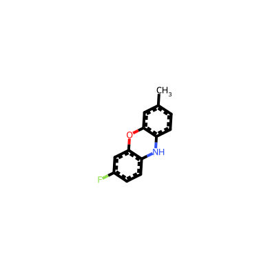 Cc1ccc2c(c1)Oc1cc(F)ccc1N2